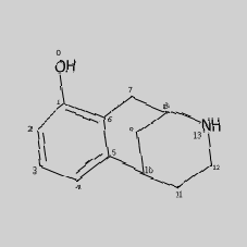 Oc1cccc2c1CC1CC2CCN1